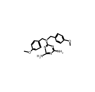 COc1ccc(CN(Cc2ccc(OC)cc2)c2nc(N)nc(N)n2)cc1